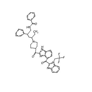 CCC(CC(CNC(=O)c1ccccc1)c1ccccc1)N1CCC(C(=O)c2nc3c(C(=O)c4nc5ccccc5n4CC(F)(F)F)cccc3[nH]2)CC1